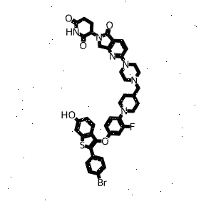 O=C1CCC(N2Cc3nc(N4CCN(CC5CCN(c6ccc(Oc7c(-c8ccc(Br)cc8)sc8cc(O)ccc78)cc6F)CC5)CC4)ccc3C2=O)C(=O)N1